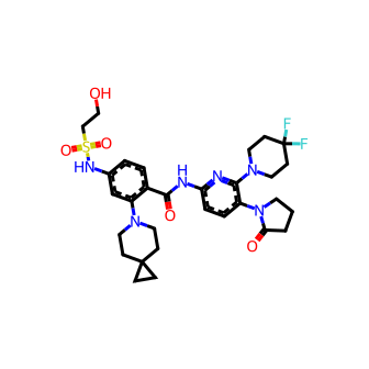 O=C(Nc1ccc(N2CCCC2=O)c(N2CCC(F)(F)CC2)n1)c1ccc(NS(=O)(=O)CCO)cc1N1CCC2(CC1)CC2